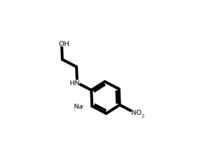 O=[N+]([O-])c1ccc(NCCO)cc1.[Na]